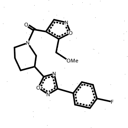 COCc1oncc1C(=O)N1CCCC(c2nc(-c3ccc(F)cc3)no2)C1